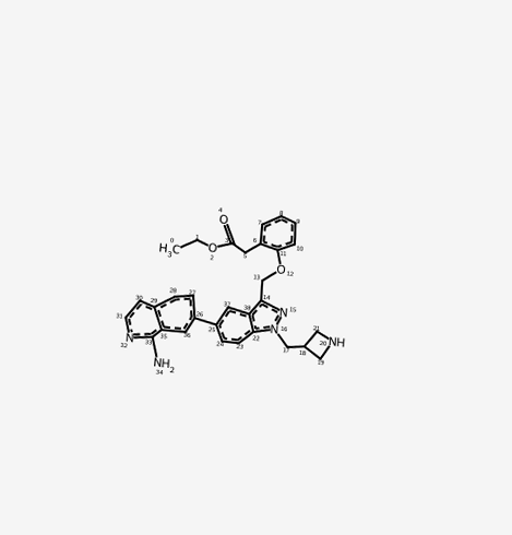 CCOC(=O)Cc1ccccc1OCc1nn(CC2CNC2)c2ccc(-c3ccc4ccnc(N)c4c3)cc12